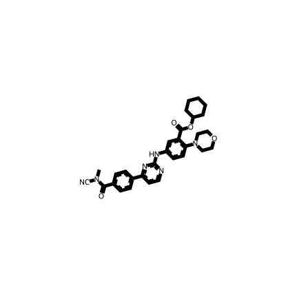 CN(C#N)C(=O)c1ccc(-c2ccnc(Nc3ccc(N4CCOCC4)c(C(=O)OC4CCCCC4)c3)n2)cc1